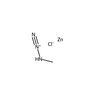 CN[N+]#N.[Cl-].[Zn]